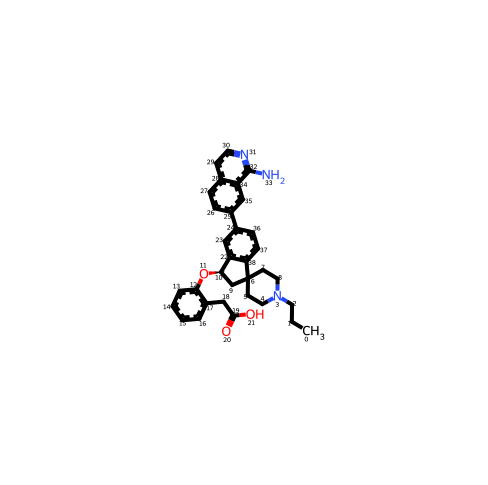 CCCN1CCC2(CC1)C[C@@H](Oc1ccccc1CC(=O)O)c1cc(-c3ccc4ccnc(N)c4c3)ccc12